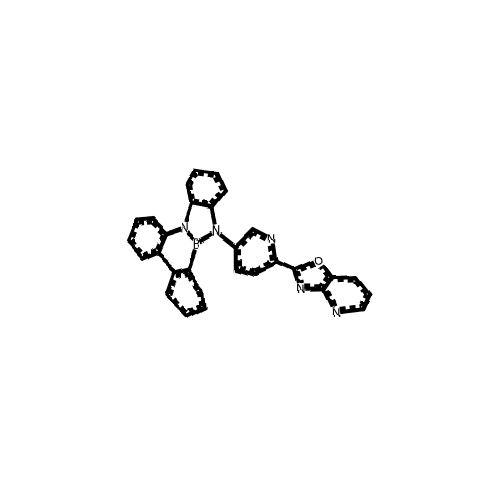 c1ccc2c(c1)B1N(c3ccc(-c4nc5ncccc5o4)nc3)c3ccccc3N1c1ccccc1-2